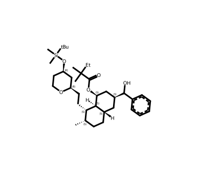 CCC(C)(C)C(=O)O[C@H]1C[C@@H](C(O)c2ccccc2)C[C@@H]2CC[C@H](C)[C@H](CC[C@@H]3C[C@H](O[Si](C)(C)C(C)(C)C)CCO3)[C@H]21